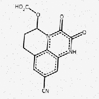 N#Cc1cc2c3c(c1)[nH]c(=O)c(=O)n3C(OC(=O)O)CC2